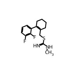 CNC(=N)SCC1=C(c2cccc(F)c2F)CCCC1